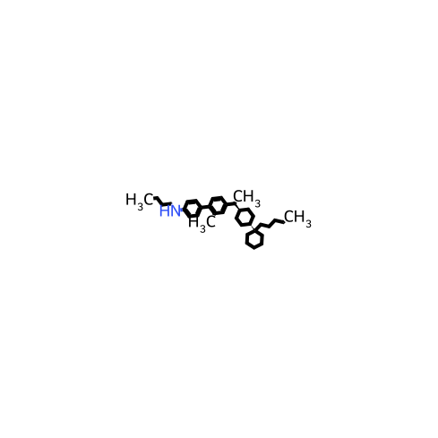 CCCCCC1([C@H]2CC[C@H](C(C)c3ccc(-c4ccc(NCCCC)cc4)c(C)c3)CC2)CCCCC1